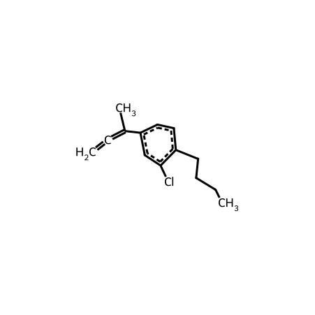 C=C=C(C)c1ccc(CCCC)c(Cl)c1